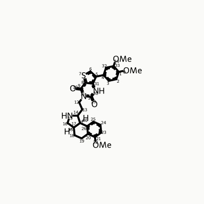 COc1ccc(-c2csc3c(=O)n(CCC4NC[C@@H]5CCc6c(OC)cccc6[C@H]45)c(=O)[nH]c23)cc1OC